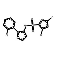 O=S(=O)(Nc1ccsc1-c1ccccc1Cl)c1sc(Cl)cc1Br